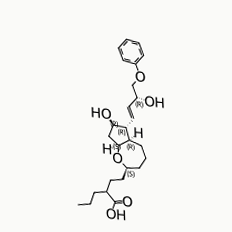 CCCC(CC[C@@H]1CCC[C@@H]2[C@@H](C=C[C@@H](O)COc3ccccc3)[C@H](O)C[C@@H]2O1)C(=O)O